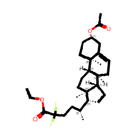 CCOC(=O)C(F)(F)CC[C@@H](C)[C@H]1CC[C@H]2[C@@H]3CC=C4C[C@@H](OC(C)=O)CC[C@]4(C)[C@H]3CC[C@]12C